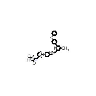 Cc1cc(CNCC2CCN(c3nccc(/C=C4\SC(=O)NC4=O)n3)CC2)nc(-c2ccc(Oc3ccccc3)cc2)c1